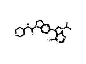 CC(C)n1cc(-c2ccc3c(c2)CCN3C(=O)NC2CCOCC2)c2c(N)ncnc21